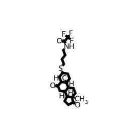 C[C@]12CCC(SCCCCNC(=O)C(F)(F)F)CC1C(=O)C[C@@H]1[C@H]2CC[C@]2(C)C(=O)CC[C@@H]12